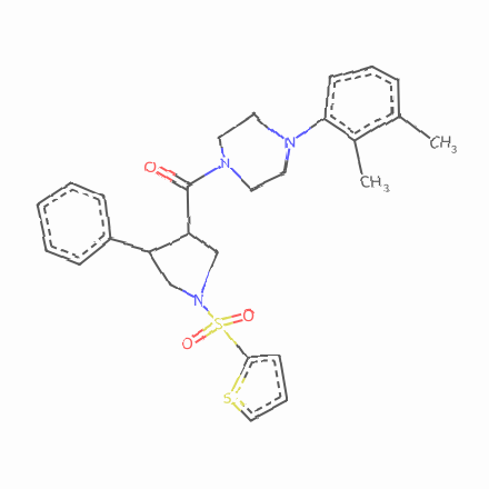 Cc1cccc(N2CCN(C(=O)C3CN(S(=O)(=O)c4cccs4)CC3c3ccccc3)CC2)c1C